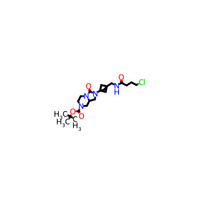 CC(C)(C)OC(=O)N1CCN2C(=O)N(C34CC(CNC(=O)CCCCl)(C3)C4)CC2C1